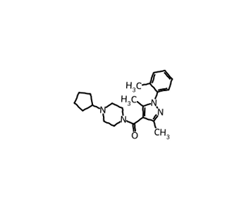 Cc1ccccc1-n1nc(C)c(C(=O)N2CCN(C3CCCC3)CC2)c1C